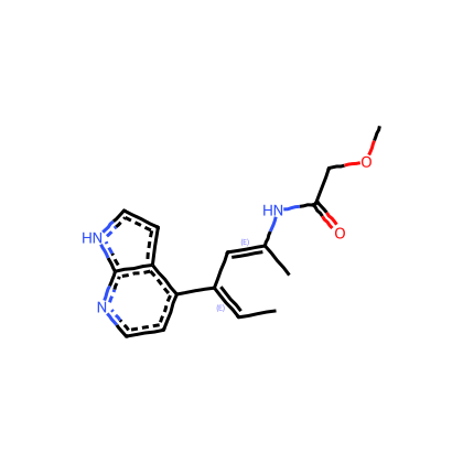 C/C=C(\C=C(/C)NC(=O)COC)c1ccnc2[nH]ccc12